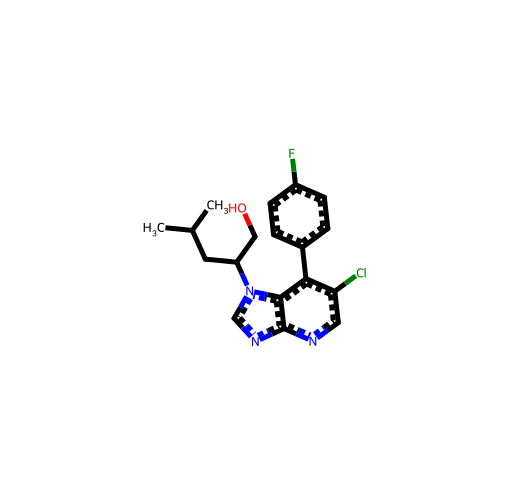 CC(C)CC(CO)n1cnc2ncc(Cl)c(-c3ccc(F)cc3)c21